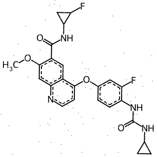 COc1cc2nccc(Oc3ccc(NC(=O)NC4CC4)c(F)c3)c2cc1C(=O)NC1CC1F